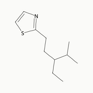 CCC(CCc1nccs1)C(C)C